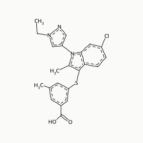 CCn1cc(-n2c(C)c(Sc3cc(C)cc(C(=O)O)c3)c3ccc(Cl)cc32)cn1